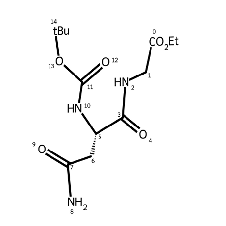 CCOC(=O)CNC(=O)[C@H](CC(N)=O)NC(=O)OC(C)(C)C